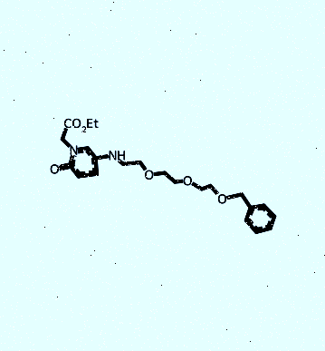 CCOC(=O)Cn1cc(NCCOCCOCCOCc2ccccc2)ccc1=O